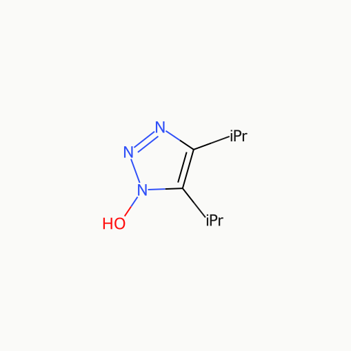 CC(C)c1nnn(O)c1C(C)C